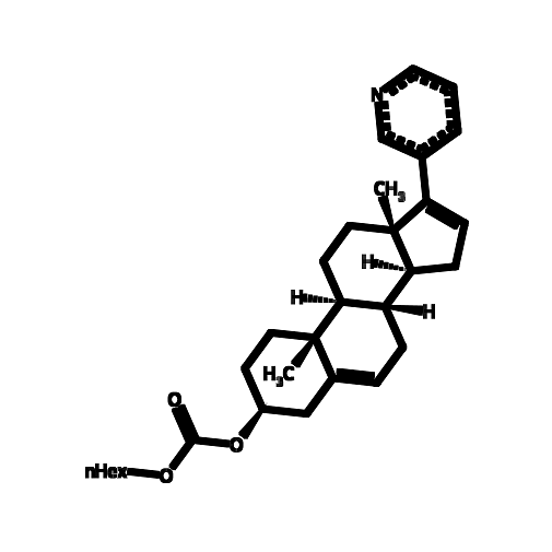 CCCCCCOC(=O)O[C@H]1CC[C@@]2(C)C(=CC[C@@H]3[C@@H]2CC[C@]2(C)C(c4cccnc4)=CC[C@@H]32)C1